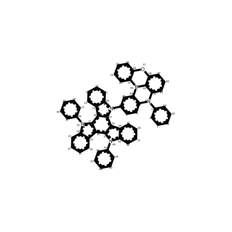 c1ccc(N2c3ccc(-n4c5ccccc5c5c6c(c7ccccc7n6-c6ccccc6)c6c(c7ccccc7n6-c6ccccc6)c54)cc3B3c4ccccc4Oc4cccc2c43)cc1